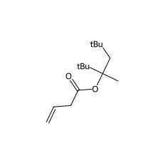 C=CCC(=O)OC(C)(CC(C)(C)C)C(C)(C)C